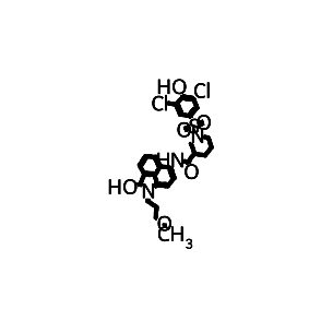 COCCCN1c2ccc(NC(=O)C3CCCN(S(=O)(=O)c4cc(Cl)c(O)c(Cl)c4)C3)c3cccc(c23)C1O